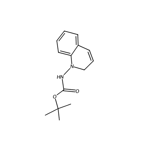 CC(C)(C)OC(=O)NN1CC=Cc2ccccc21